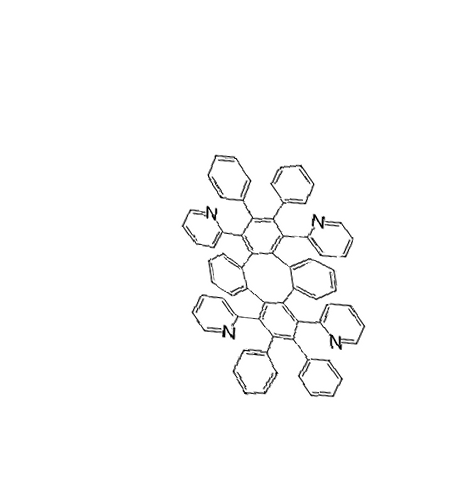 c1ccc(-c2c(-c3ccccc3)c(-c3ccccn3)c3c(c2-c2ccccn2)-c2ccccc2-c2c(-c4ccccn4)c(-c4ccccc4)c(-c4ccccc4)c(-c4ccccn4)c2-c2ccccc2-3)cc1